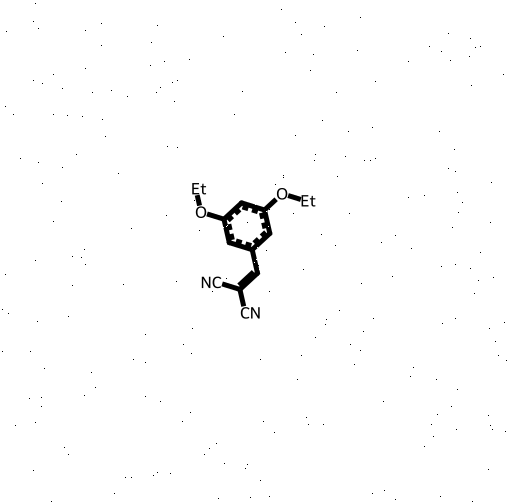 CCOc1cc(C=C(C#N)C#N)cc(OCC)c1